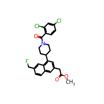 COC(=O)Cc1cc(C2CCN(C(=O)c3ccc(Cl)cc3Cl)CC2)c2cc(CF)ccc2c1